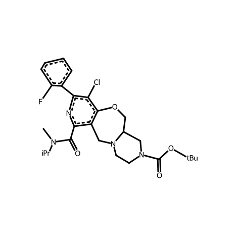 CC(C)N(C)C(=O)c1nc(-c2ccccc2F)c(Cl)c2c1CN1CCN(C(=O)OC(C)(C)C)CC1CO2